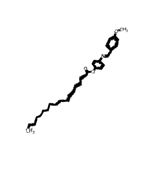 CCCCCCCCCCCCCCCCCC(=O)Oc1ccc(N=Cc2ccc(OC)cc2)cc1